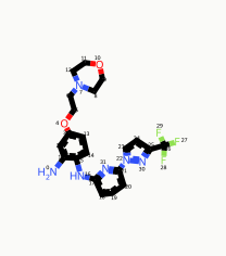 Nc1cc(OCCN2CCOCC2)ccc1Nc1cc[c]c(-n2ccc(C(F)(F)F)n2)n1